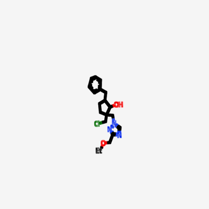 CCOCc1ncn(CC2(CCl)CCC(Cc3ccccc3)C2O)n1